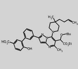 C=CCCC1(C)CCN(c2c(C(OC(C)(C)C)C(=O)OCC)c(C)nc3cc(-c4cccc(-c5cc(C(=O)O)ccc5O)c4)nn23)CC1